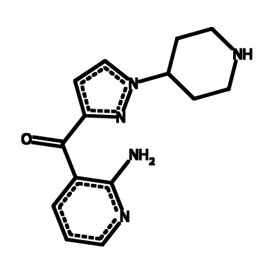 Nc1ncccc1C(=O)c1ccn(C2CCNCC2)n1